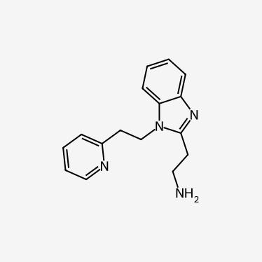 NCCc1nc2ccccc2n1CCc1ccccn1